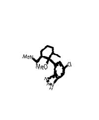 CNCC1CCCC(C)C1(OC)c1cc(Cl)cc2[nH]nnc12